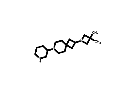 CC1(C)CN(C2CC3(CCN(C4CCCNC4)CC3)C2)C1